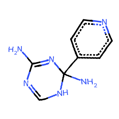 NC1=NC(N)(c2ccncc2)NC=N1